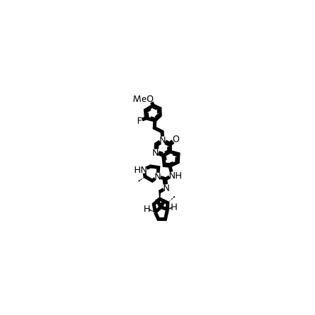 COc1ccc(CCn2cnc3cc(N/C(=N/C[C@@H]4C[C@@H]5CC[C@H]([C@H]4C)C5(C)C)N4CCN[C@@H](C)C4)ccc3c2=O)c(F)c1